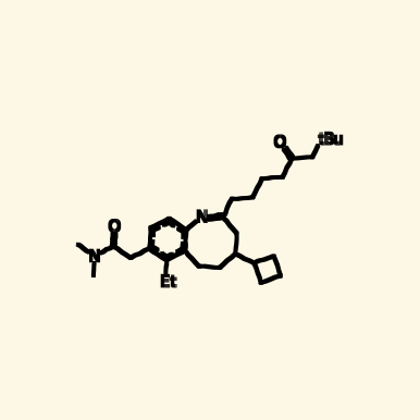 CCc1c(CC(=O)N(C)C)ccc2c1CCC(C1CCC1)C/C(CCCCC(=O)CC(C)(C)C)=N\2